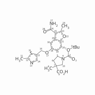 CC(C)(C)OC(=O)N1CCC(C)(C(=O)O)C1.Cc1ncc(COc2ccc3oc(C)c(C(N)=O)c3c2)s1